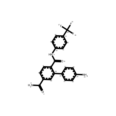 NC(=O)c1ccc(C(=O)Nc2ccc(C(F)(F)F)cc2)c(-c2ccc(N)cc2)c1